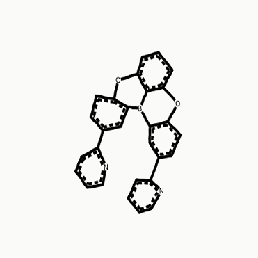 c1ccc(-c2ccc3c(c2)B2c4cc(-c5ccccn5)ccc4Oc4cccc(c42)O3)nc1